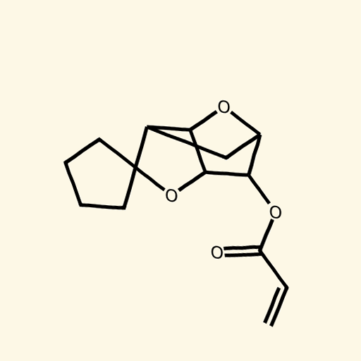 C=CC(=O)OC1C2CC3C(O2)C1OC31CCCC1